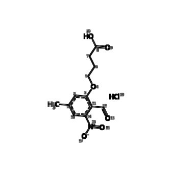 Cc1cc(OCCCC(=O)O)c(C=O)c([N+](=O)[O-])c1.Cl